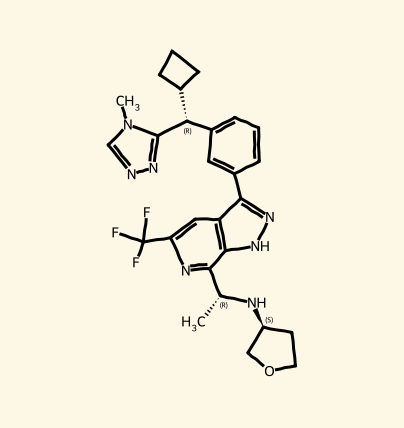 C[C@@H](N[C@H]1CCOC1)c1nc(C(F)(F)F)cc2c(-c3cccc([C@H](c4nncn4C)C4CCC4)c3)n[nH]c12